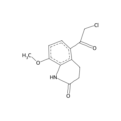 COc1ccc(C(=O)CCl)c2c1NC(=O)CC2